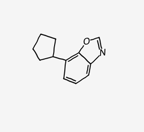 c1cc(C2CCCC2)c2ocnc2c1